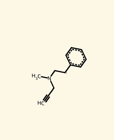 C#CCN(C)C[C]c1ccccc1